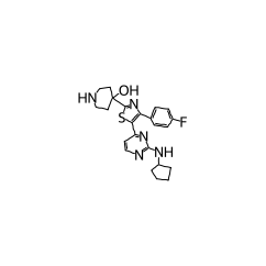 OC1(c2nc(-c3ccc(F)cc3)c(-c3ccnc(NC4CCCC4)n3)s2)CCNCC1